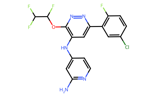 Nc1cc(Nc2cc(-c3cc(Cl)ccc3F)nnc2OC(F)C(F)F)ccn1